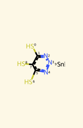 Sc1nnnc(S)c1S.[Sn]